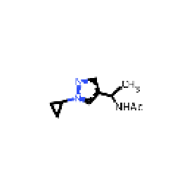 CC(=O)NC(C)c1cnn(C2CC2)c1